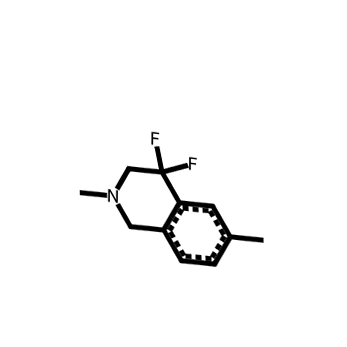 Cc1ccc2c(c1)C(F)(F)CN(C)C2